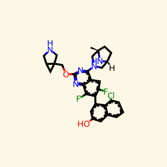 C[C@]12CC[C@H](CN(c3nc(OCC45CNCC4C5)nc4c(F)c(-c5cc(O)cc6cccc(Cl)c56)c(F)cc34)C1)N2